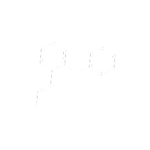 CC(=O)C=Cc1ccccc1Oc1ccccc1